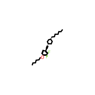 CCCCCCC[C@H]1CC[C@H](C#Cc2ccc(OCCCCCC)c(F)c2F)CC1